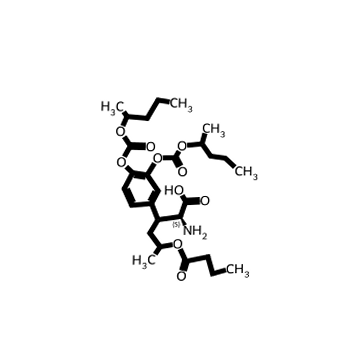 CCCC(=O)OC(C)CC(c1ccc(OC(=O)OC(C)CCC)c(OC(=O)OC(C)CCC)c1)[C@H](N)C(=O)O